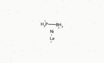 BP.[La].[Ni]